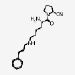 N#C[C@@H]1CCCN1C(=O)[C@@H](N)CCCCNC/C=C/c1ccccc1